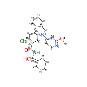 COc1nccc(N(Cc2ccccc2)c2ccc(Cl)c(C(=O)NC(O)C3CCCCC3)c2)n1